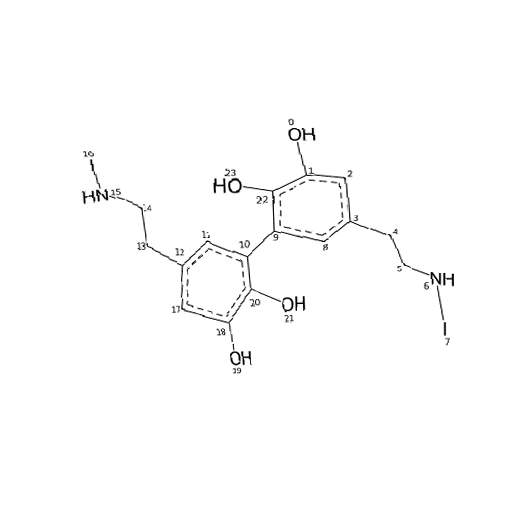 Oc1cc(CCNI)cc(-c2cc(CCNI)cc(O)c2O)c1O